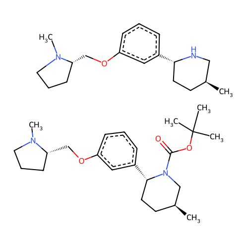 C[C@H]1CC[C@H](c2cccc(OC[C@@H]3CCCN3C)c2)N(C(=O)OC(C)(C)C)C1.C[C@H]1CC[C@H](c2cccc(OC[C@@H]3CCCN3C)c2)NC1